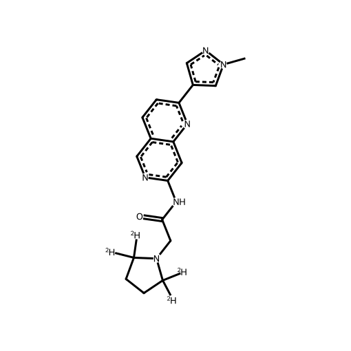 [2H]C1([2H])CCC([2H])([2H])N1CC(=O)Nc1cc2nc(-c3cnn(C)c3)ccc2cn1